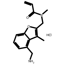 C=CC(=O)N(C)Cc1oc2cccc(CN)c2c1C.Cl